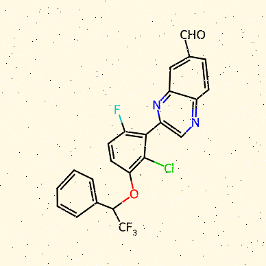 O=Cc1ccc2ncc(-c3c(F)ccc(OC(c4ccccc4)C(F)(F)F)c3Cl)nc2c1